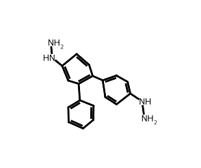 NNc1ccc(-c2ccc(NN)cc2-c2ccccc2)cc1